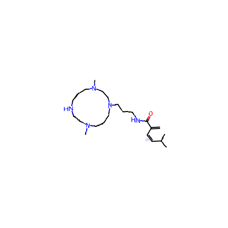 C=C(/C=C\C(C)C)C(=O)NCCCN1CCCN(C)CCNCCCN(C)CC1